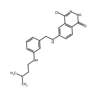 CN(C)CCNc1cccc(CNc2ccc3c(=O)[nH]nc(Cl)c3c2)c1